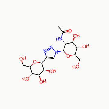 CC(=O)N[C@@H]1[C@@H](O)[C@H](O)[C@@H](CO)O[C@H]1n1cc(C2O[C@H](CO)[C@@H](O)[C@H](O)[C@@H]2O)nn1